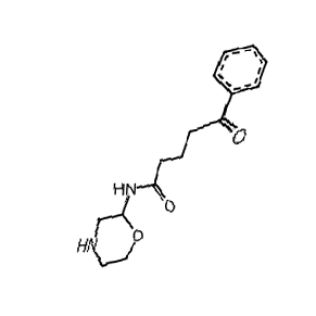 O=C(CCCC(=O)c1ccccc1)NC1CNCCO1